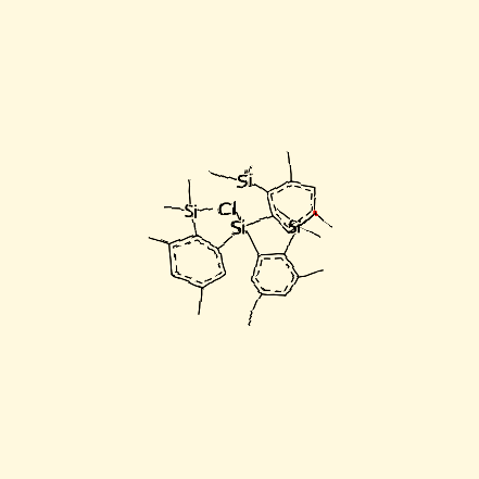 Cc1cc(C)c([Si](C)(C)C)c([Si](Cl)(c2cc(C)cc(C)c2[Si](C)(C)C)c2cc(C)cc(C)c2[Si](C)(C)C)c1